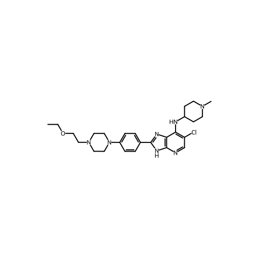 CCOCCN1CCN(c2ccc(-c3nc4c(NC5CCN(C)CC5)c(Cl)cnc4[nH]3)cc2)CC1